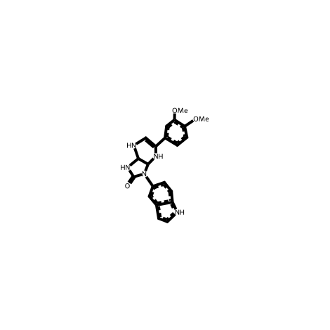 COc1ccc(C2=CNC3NC(=O)N(c4ccc5[nH]ccc5c4)C3N2)cc1OC